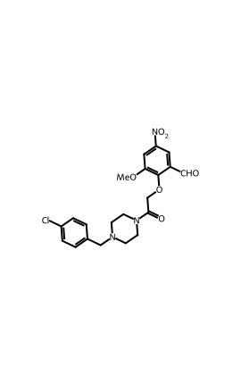 COc1cc([N+](=O)[O-])cc(C=O)c1OCC(=O)N1CCN(Cc2ccc(Cl)cc2)CC1